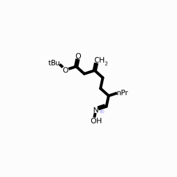 C=C(CCC(/C=N/O)CCC)CC(=O)OC(C)(C)C